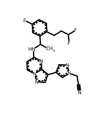 CC(Nc1ccn2ncc(-c3cnn(CC#N)c3)c2n1)c1cc(F)ccc1CCC(F)F